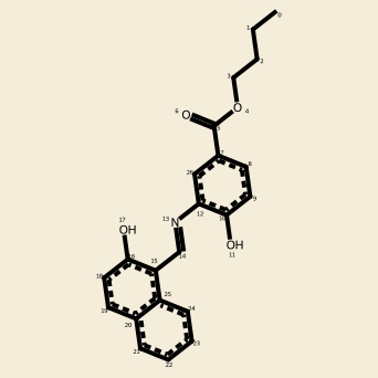 CCCCOC(=O)c1ccc(O)c(N=Cc2c(O)ccc3ccccc23)c1